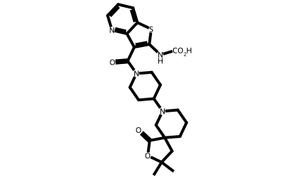 CC1(C)CC2(CCCN(C3CCN(C(=O)c4c(NC(=O)O)sc5cccnc45)CC3)C2)C(=O)O1